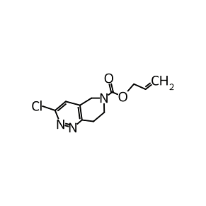 C=CCOC(=O)N1CCc2nnc(Cl)cc2C1